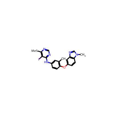 CSc1ncnc(Nc2ccc(Oc3ccc4c(c3)ncn4C)c(C)c2)c1I